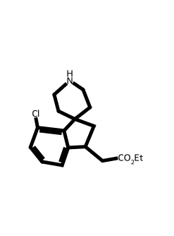 CCOC(=O)CC1CC2(CCNCC2)c2c(Cl)cccc21